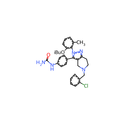 Cc1cccc(OCC(C)C)c1-n1nc2c(c1-c1ccc(NC(N)=O)cc1)CN(Cc1ccccc1Cl)CC2